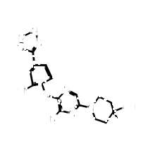 CC1(C)CCN(c2cnc(Sc3ccc(-c4nn[nH]n4)cc3Cl)c(N)n2)CC1